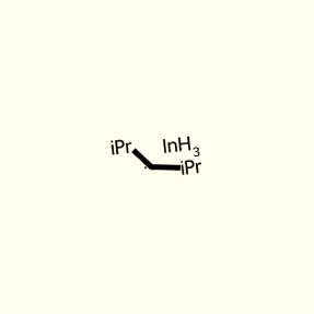 CC(C)[CH]C(C)C.[InH3]